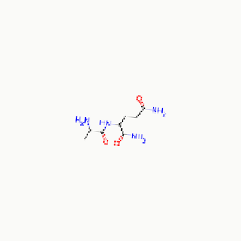 CC(N)C(=O)NC(CCC(N)=O)C(N)=O